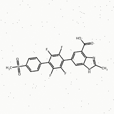 Cc1nc2c(C(=O)O)cc(-c3c(F)c(F)c(-c4ccc(S(C)(=O)=O)cc4)c(F)c3F)cc2[nH]1